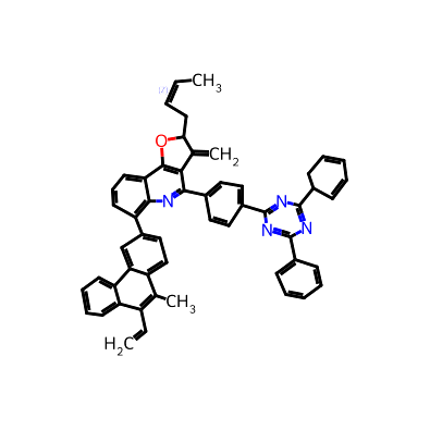 C=Cc1c(C)c2ccc(-c3cccc4c5c(c(-c6ccc(-c7nc(-c8ccccc8)nc(C8C=CC=CC8)n7)cc6)nc34)C(=C)C(C/C=C\C)O5)cc2c2ccccc12